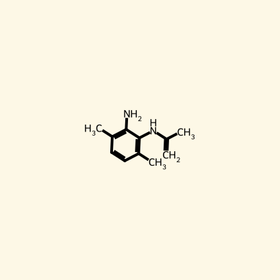 C=C(C)Nc1c(C)ccc(C)c1N